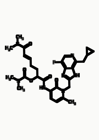 Cc1ccc(NC(=O)C(CCC=CC(=O)N(C)C)OC(=O)N(C)C)c(=O)n1Cc1nc2c(F)cnc(CC3CC3)c2[nH]1